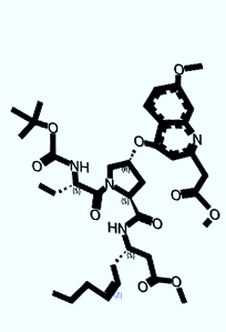 CCC/C=C\C[C@@H](CC(=O)OC)NC(=O)[C@@H]1C[C@@H](Oc2cc(CC(=O)OC)nc3cc(OC)ccc23)CN1C(=O)[C@H](CC)NC(=O)OC(C)(C)C